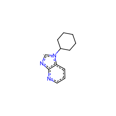 [c]1nc2ncccc2n1C1CCCCC1